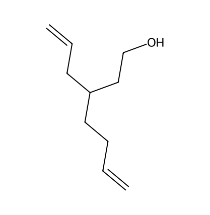 C=CCCC(CC=C)CCO